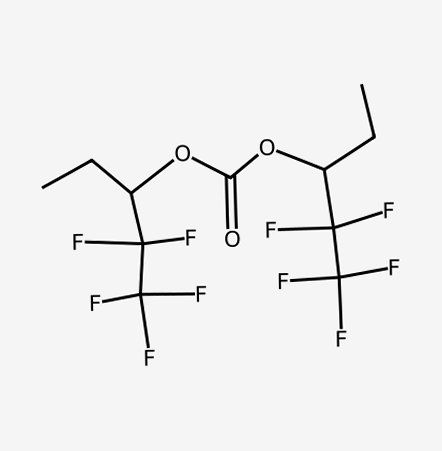 CCC(OC(=O)OC(CC)C(F)(F)C(F)(F)F)C(F)(F)C(F)(F)F